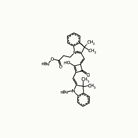 CCCCOC(=O)CC[N+]1=C(/C=C2/C(=O)C(/C=C3/N(CCCC)c4ccccc4C3(C)C)=C2O)C(C)(C)c2ccccc21